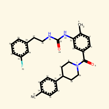 Cc1ccc(C(=O)N2CCC(c3ccc(C#N)cc3)CC2)cc1NC(=O)NCCc1cccc(F)c1